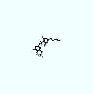 C/C=C/CCc1cc(F)c(C(F)(F)Oc2cc(F)c(OC(F)(F)F)c(F)c2)c(F)c1